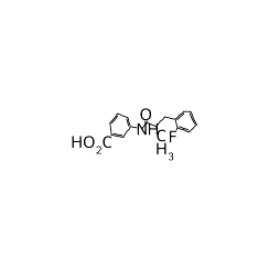 CC(Cc1ccccc1F)C(=O)Nc1cccc(C(=O)O)c1